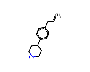 C=CCc1ccc(C2CCNCC2)cc1